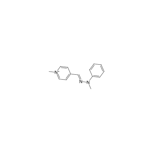 CN(/N=C/c1cc[n+](C)cc1)c1ccccc1